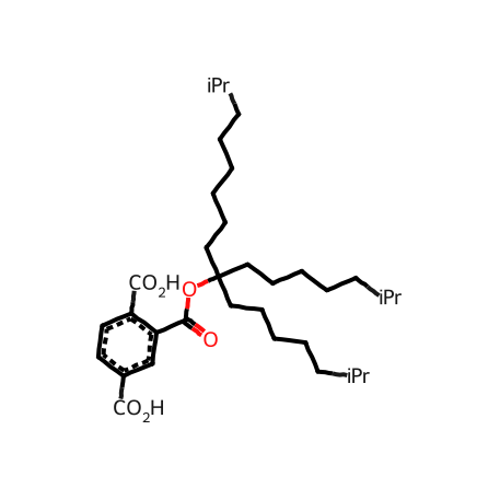 CC(C)CCCCCCC(CCCCCC(C)C)(CCCCCC(C)C)OC(=O)c1cc(C(=O)O)ccc1C(=O)O